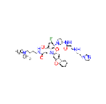 CN(C)CCCCNC(=O)c1cn2c3c(c(N4CC[C@@H](NC(=O)CCNCCCN5C=NCC5)C4)c(F)cc3c1=O)Oc1cc3c(cc1-2)oc1ccccc13